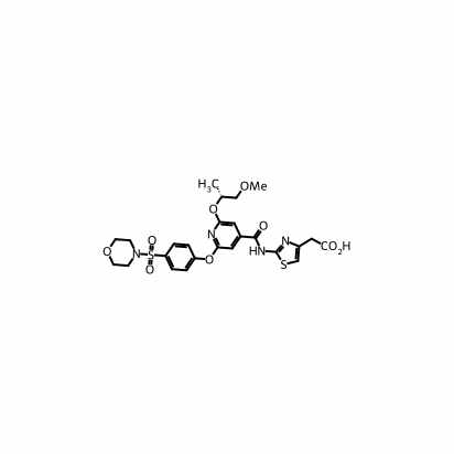 COC[C@@H](C)Oc1cc(C(=O)Nc2nc(CC(=O)O)cs2)cc(Oc2ccc(S(=O)(=O)N3CCOCC3)cc2)n1